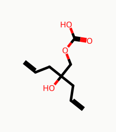 C=CCC(O)(CC=C)COC(=O)O